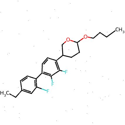 CCCCOC1CCC(c2ccc(-c3ccc(CC)cc3F)c(F)c2F)CO1